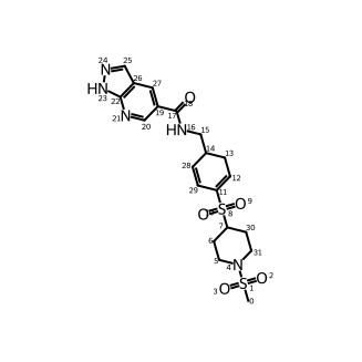 CS(=O)(=O)N1CCC(S(=O)(=O)C2=CCC(CNC(=O)c3cnc4[nH]ncc4c3)C=C2)CC1